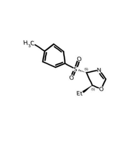 CC[C@@H]1OC=N[C@H]1S(=O)(=O)c1ccc(C)cc1